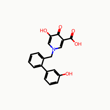 O=C(O)c1cn(Cc2ccccc2-c2cccc(O)c2)cc(O)c1=O